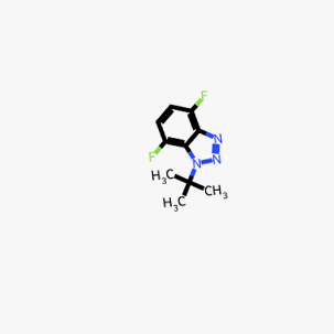 CC(C)(C)n1nnc2c(F)ccc(F)c21